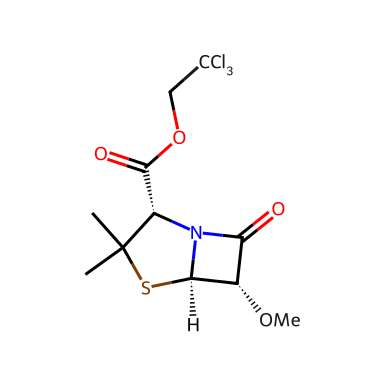 CO[C@H]1C(=O)N2[C@@H]1SC(C)(C)[C@@H]2C(=O)OCC(Cl)(Cl)Cl